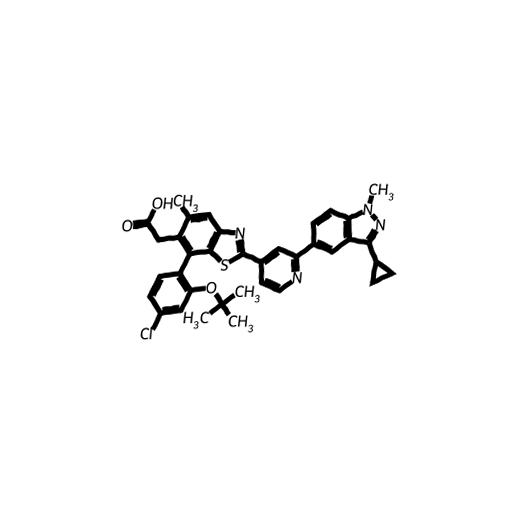 Cc1cc2nc(-c3ccnc(-c4ccc5c(c4)c(C4CC4)nn5C)c3)sc2c(-c2ccc(Cl)cc2OC(C)(C)C)c1CC(=O)O